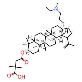 C=C(C)C1CC[C@]2(CCCN(C)CC)CC[C@]3(C)[C@H](CC[C@@H]4[C@@]5(C)CC[C@H](OC(=O)CC(C)(C)C(=O)O)C(C)(C)[C@@H]5CC[C@]43C)[C@@H]12